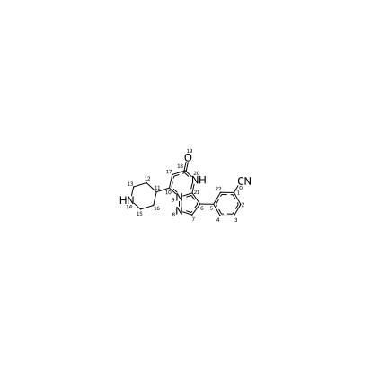 N#Cc1cccc(-c2cnn3c(C4CCNCC4)cc(=O)[nH]c23)c1